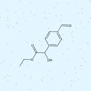 CCOC(=O)C(O)c1ccc(C=O)cc1